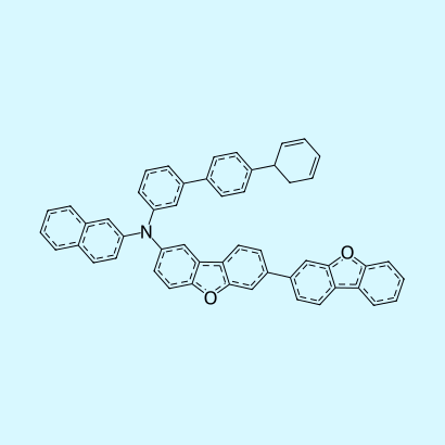 C1=CCC(c2ccc(-c3cccc(N(c4ccc5ccccc5c4)c4ccc5oc6cc(-c7ccc8c(c7)oc7ccccc78)ccc6c5c4)c3)cc2)C=C1